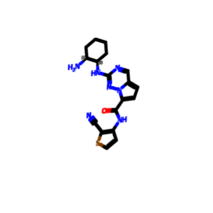 N#Cc1sccc1NC(=O)c1ccc2cnc(N[C@@H]3CCCC[C@@H]3N)nn12